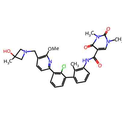 COc1nc(-c2cccc(-c3cccc(NC(=O)c4cn(C)c(=O)n(C)c4=O)c3C)c2Cl)ccc1CN1CC(C)(O)C1